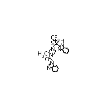 CC1CN(c2sc(C(F)(F)F)nc2-c2nc3ccccc3[nH]2)CCN1C(=O)Cn1cnc2ccccc21